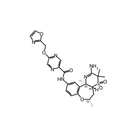 C[C@H]1C[C@@H]2[C@](C)(N=C(N)C(C)(C)S2(=O)=O)c2cc(NC(=O)c3cnc(OCc4ncco4)cn3)ccc2O1